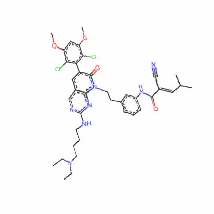 CCN(CC)CCCCNc1ncc2cc(-c3c(Cl)c(OC)cc(OC)c3Cl)c(=O)n(CCc3cccc(NC(=O)C(C#N)=CC(C)C)c3)c2n1